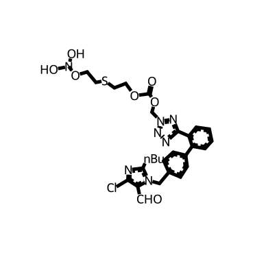 CCCCc1nc(Cl)c(C=O)n1Cc1ccc(-c2ccccc2-c2nnn(COC(=O)OCCSCCON(O)O)n2)cc1